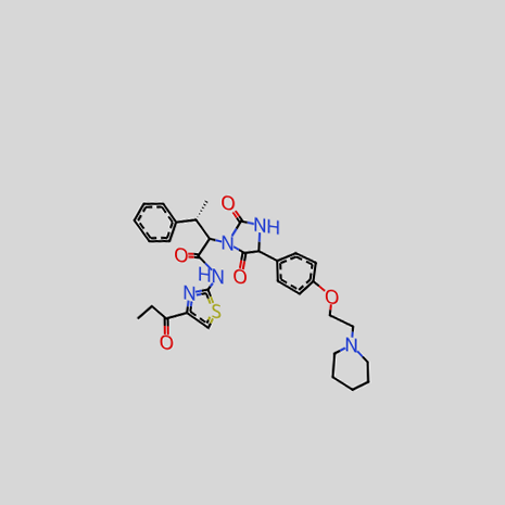 CCC(=O)c1csc(NC(=O)C([C@@H](C)c2ccccc2)N2C(=O)NC(c3ccc(OCCN4CCCCC4)cc3)C2=O)n1